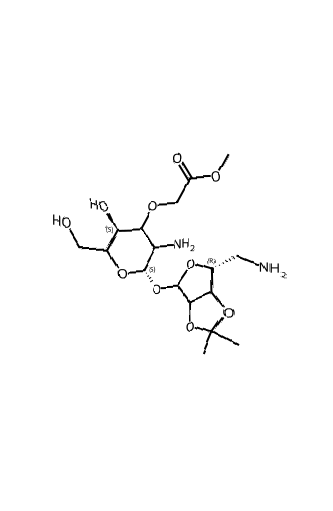 COC(=O)COC1C(N)[C@H](OC2O[C@H](CN)C3OC(C)(C)OC23)OC(CO)[C@H]1O